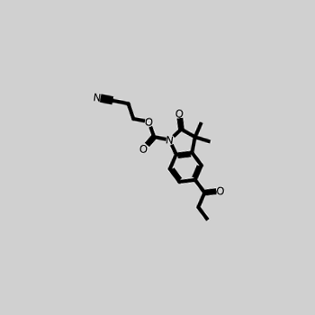 CCC(=O)c1ccc2c(c1)C(C)(C)C(=O)N2C(=O)OCCC#N